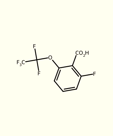 O=C(O)c1c(F)cccc1OC(F)(F)C(F)(F)F